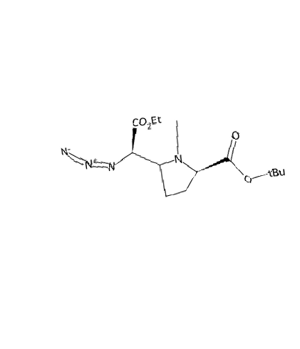 CCOC(=O)[C@H](N=[N+]=[N-])C1CC[C@H](C(=O)OC(C)(C)C)N1C